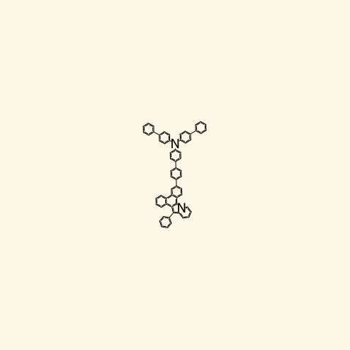 c1ccc(-c2ccc(N(c3ccc(-c4ccccc4)cc3)c3ccc(-c4ccc(-c5ccc6c(c5)c5ccccc5c5c(-c7ccccc7)c7ccccn7c65)cc4)cc3)cc2)cc1